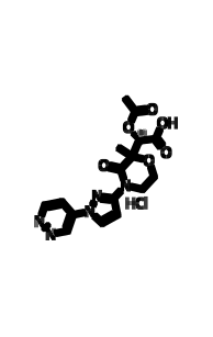 CC(=O)O[C@@H](C(=O)O)C1(C)OCCN(c2ccn(-c3ccnnc3)n2)C1=O.Cl